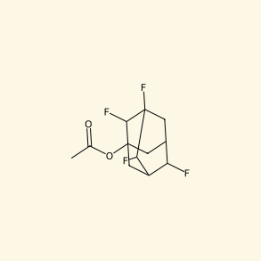 CC(=O)OC12CC3CC(F)(C(F)C(C1)C3F)C2F